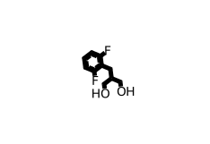 OCC(CO)Cc1c(F)cccc1F